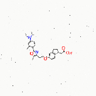 CCN(CC)c1ccc(-c2nc(CCOc3ccc4c(c3)CC[C@H]4CC(=O)O)c(C)o2)c(C)c1